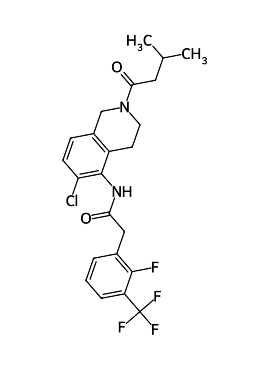 CC(C)CC(=O)N1CCc2c(ccc(Cl)c2NC(=O)Cc2cccc(C(F)(F)F)c2F)C1